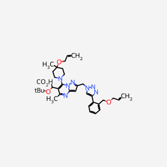 C=CCOCc1ccccc1-c1cn(Cc2cc3nc(C)c(C(OC(C)(C)C)C(=O)O)c(N4CCC(C)(OCC=C)CC4)n3n2)nn1